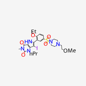 CCCn1c(=O)n(C)c(=O)c2[nH]c(-c3cc(S(=O)(=O)N4CCN(CCOC)CC4)ccc3OCC)c(I)c21